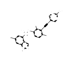 Cn1ncc2c(S(=O)(=O)Nc3ccc(F)c(C#Cc4cnc(N)nc4)c3F)cc(Cl)cc21